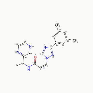 CC(NC(=O)/C=C\n1cnc(-c2cc(C(F)(F)F)cc(C(F)(F)F)c2)n1)c1cnccn1